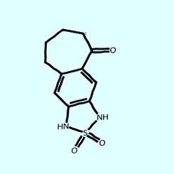 O=C1[C]CCCc2cc3c(cc21)NS(=O)(=O)N3